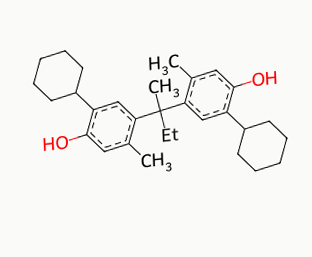 CCC(C)(c1cc(C2CCCCC2)c(O)cc1C)c1cc(C2CCCCC2)c(O)cc1C